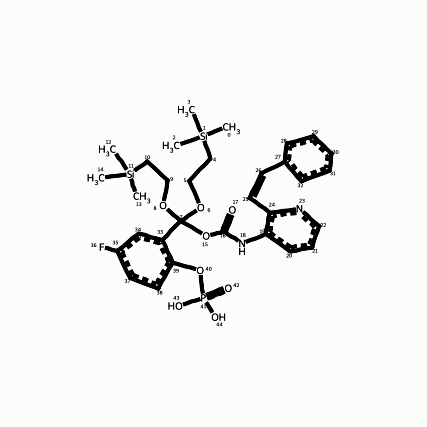 C[Si](C)(C)CCOC(OCC[Si](C)(C)C)(OC(=O)Nc1cccnc1C=Cc1ccccc1)c1cc(F)ccc1OP(=O)(O)O